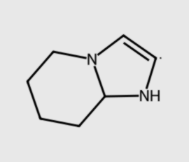 [C]1=CN2CCCCC2N1